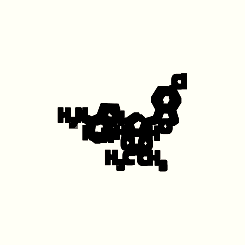 CC1(C)O[C@@H]2[C@@H]([C@H]3OCc4cc(Cl)ccc43)C[C@@H](n3ccc4c(N)ncnc43)[C@@H]2O1